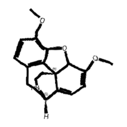 COC1=CC=C2[C@@H]3Cc4ccc(OC)c5c4[C@]2(CCN3)C1O5